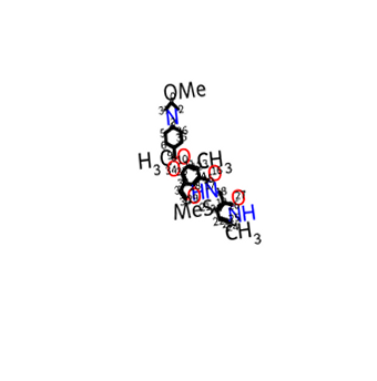 COC1CN(C2CCC([C@@]3(C)Oc4c(C)c(C(=O)NCc5c(SC)cc(C)[nH]c5=O)c5occc5c4O3)CC2)C1